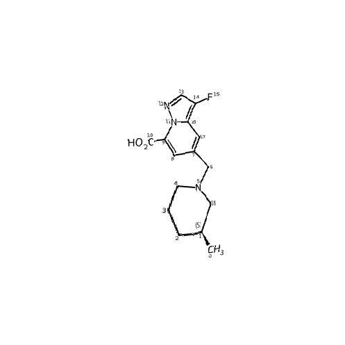 C[C@H]1CCCN(Cc2cc(C(=O)O)n3ncc(F)c3c2)C1